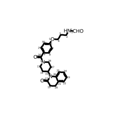 O=CNCCCOc1ccc(C(=O)N2CCC(N3C(=O)CCc4ccccc43)CC2)cc1